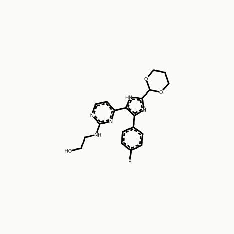 OCCNc1nccc(-c2[nH]c(C3OCCCO3)nc2-c2ccc(F)cc2)n1